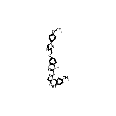 Cc1ccc(C(C)C)c(N2C(=O)CS/C2=N\C(=O)Nc2ccc(OCc3ncn(-c4ccc(OC(F)(F)F)cc4)n3)cc2F)c1